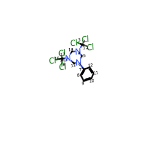 ClC(Cl)(Cl)N1CN(c2ccccc2)CN(C(Cl)(Cl)Cl)C1